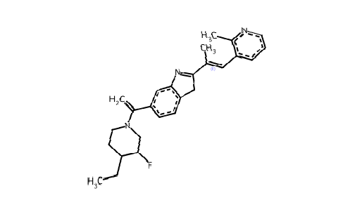 C=C(c1ccc2c(c1)N=C(/C(C)=C/c1cccnc1C)C2)N1CCC(CC)C(F)C1